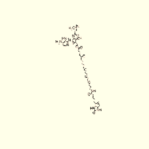 CC1(CCC(=O)O[C@@H]2C(O)C(COC(=O)CCCC(=O)CCCCCOCCOCCOCCCNC(=O)CCCCC3SCC4NC(=O)NC43)OC2N2CNc3c(N)ncnc32)C=N1